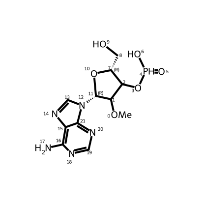 COC1C(O[PH](=O)O)[C@@H](CO)O[C@H]1n1cnc2c(N)ncnc21